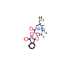 CC(C)CNC(=O)[C@H](C)ON1C(=O)c2ccccc2C1=O